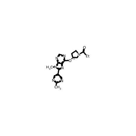 CCC(=O)N1CC[C@H](Oc2ncnc3c2nc(-c2cnc(C)nc2)n3C)C1